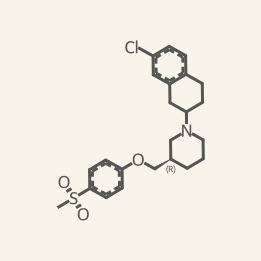 CS(=O)(=O)c1ccc(OC[C@@H]2CCCN(C3CCc4ccc(Cl)cc4C3)C2)cc1